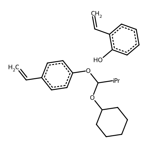 C=Cc1ccc(OC(OC2CCCCC2)C(C)C)cc1.C=Cc1ccccc1O